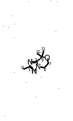 Cc1nc2n(n1)CCOC2(C)C